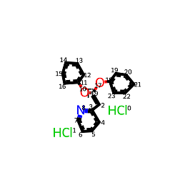 Cl.Cl.[CH](c1ccccn1)=[Ti]([O]c1ccccc1)[O]c1ccccc1